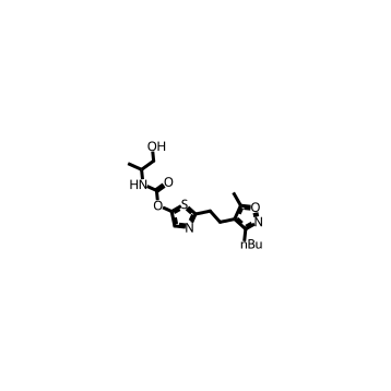 CCCCc1noc(C)c1CCc1ncc(OC(=O)NC(C)CO)s1